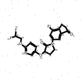 O=C1CCc2c(F)cc(N3CCC(Oc4ccc(OCC(F)F)nc4)C3=O)cc21